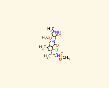 COc1cc(C)[nH]c(=O)c1CN1CCc2c(C)cc(C(C)C3CN(S(C)(=O)=O)C3)c(Cl)c2C1=O